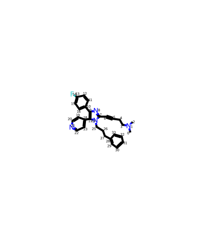 CN(C)CCC#Cc1nc(-c2ccc(F)cc2)c(-c2ccncc2)n1CCCc1ccccc1